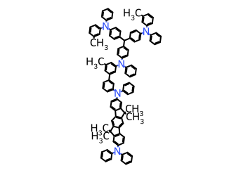 Cc1cccc(N(c2ccccc2)c2ccc(C(c3ccc(N(c4ccccc4)c4cccc(C)c4)cc3)c3ccc(N(c4ccccc4)c4cc(C)cc(-c5cccc(N(c6ccccc6)c6ccc7c(c6)C(C)(C)c6cc8c(cc6-7)C(C)(C)c6cc(N(c7ccccc7)c7ccccc7)ccc6-8)c5)c4)cc3)cc2)c1